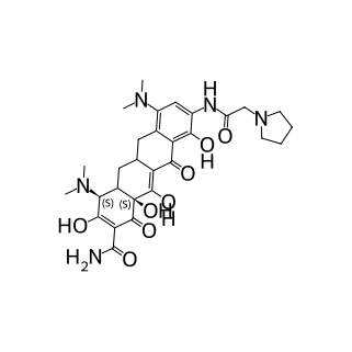 CN(C)c1cc(NC(=O)CN2CCCC2)c(O)c2c1CC1CC3[C@H](N(C)C)C(O)=C(C(N)=O)C(=O)[C@@]3(O)C(O)=C1C2=O